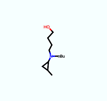 CCCCN(CCCCO)C1CC1C